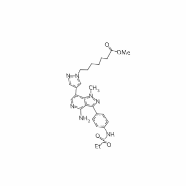 CCS(=O)(=O)Nc1ccc(-c2nn(C)c3c(-c4cnn(CCCCCCC(=O)OC)c4)cnc(N)c23)cc1